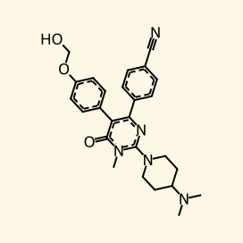 CN(C)C1CCN(c2nc(-c3ccc(C#N)cc3)c(-c3ccc(OCO)cc3)c(=O)n2C)CC1